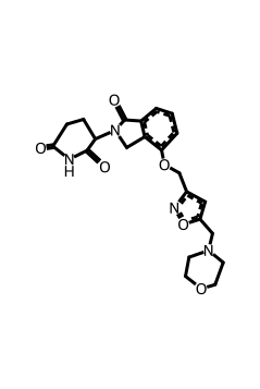 O=C1CCC(N2Cc3c(OCc4cc(CN5CCOCC5)on4)cccc3C2=O)C(=O)N1